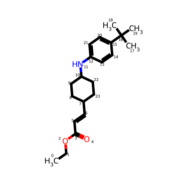 CCOC(=O)/C=C/C1CCC(Nc2ccc(C(C)(C)C)cc2)CC1